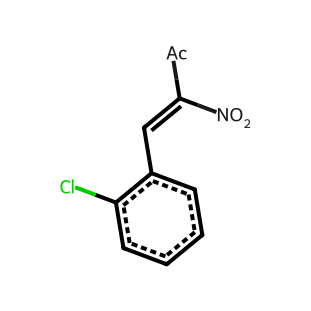 CC(=O)C(=Cc1ccccc1Cl)[N+](=O)[O-]